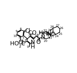 CC1=C(C(=O)O)C(c2c(Cl)cccc2Cl)C(C(=O)O)=C(CC(=O)N2CCN(C3C4CCCC3CNC4)CC2)N1